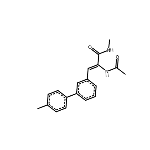 CNC(=O)C(=Cc1cccc(-c2ccc(C)cc2)c1)NC(C)=O